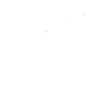 CN1CCCN(C2CCCc3cc(Br)ccc32)CC1